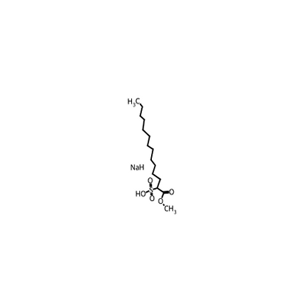 CCCCCCCCCCCCC(C(=O)OC)S(=O)(=O)O.[NaH]